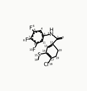 C=C(Nc1cc(F)c(F)c(F)c1)C1=CC(SC)=C(Cl)CC1